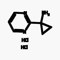 Cl.Cl.NC1(c2ncccn2)CC1